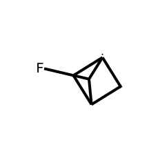 FC1[C]2CC1C2